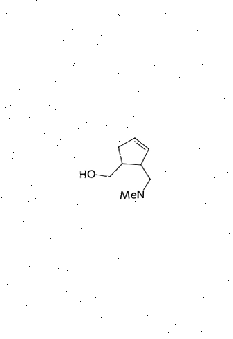 CNCC1C=CCC1CO